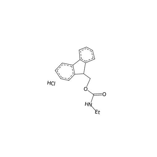 CCNC(=O)OCC1c2ccccc2-c2ccccc21.Cl